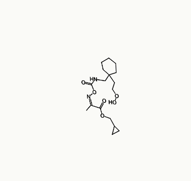 CC(=NOC(=O)NCC1(CCOO)CCCCC1)C(=O)OCC1CC1